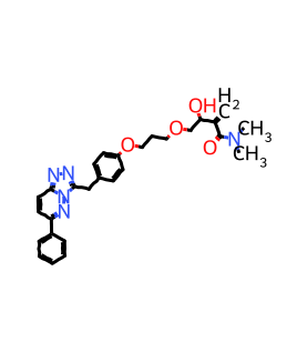 C=C(C(=O)N(C)C)C(O)COCCCOc1ccc(Cc2nnc3ccc(-c4ccccc4)nn23)cc1